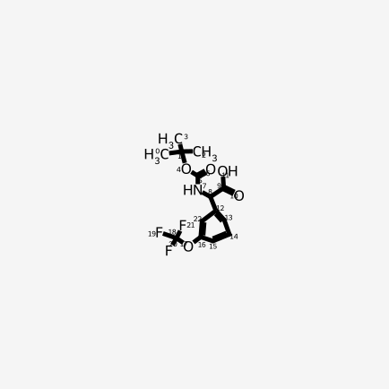 CC(C)(C)OC(=O)NC(C(=O)O)c1cccc(OC(F)(F)F)c1